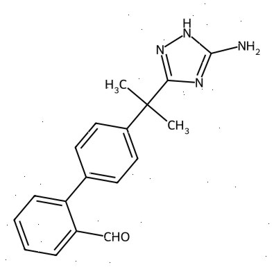 CC(C)(c1ccc(-c2ccccc2C=O)cc1)c1n[nH]c(N)n1